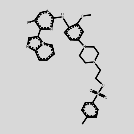 COc1cc(N2CCN(CCOS(=O)(=O)c3ccc(C)cc3)CC2)ccc1Nc1ncc(F)c(-c2cnc3ccccn23)n1